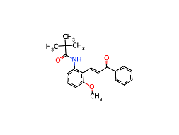 COc1cccc(NC(=O)C(C)(C)C)c1C=CC(=O)c1ccccc1